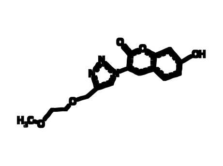 COCCOCc1cn(-c2cc3ccc(O)cc3oc2=O)nn1